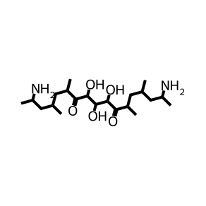 CC(N)CC(C)CC(C)C(=O)C(O)C(O)C(O)C(=O)C(C)CC(C)CC(C)N